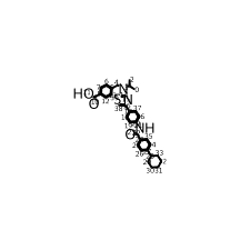 CC(C)N(Cc1ccc(C(=O)O)cc1)c1nc(-c2ccc(NC(=O)c3ccc(C4CCCCC4)cc3)cc2)cs1